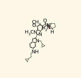 COc1cc(C(=O)N2C[C@H]3CCC2[C@H]3N)cc2nc(-c3cc4ccc(NCCC5CC5)cc4n3CC3CC3)n(C)c12